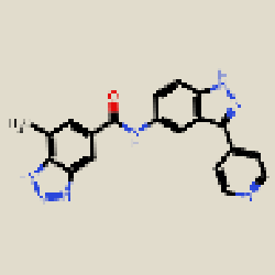 Cc1cc(C(=O)Nc2ccc3[nH]nc(-c4ccncc4)c3c2)cc2nn[nH]c12